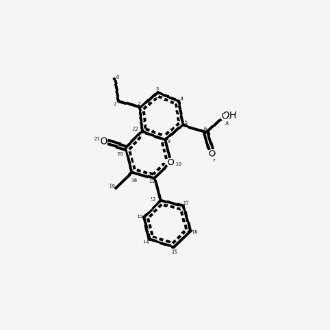 CCc1ccc(C(=O)O)c2oc(-c3ccccc3)c(C)c(=O)c12